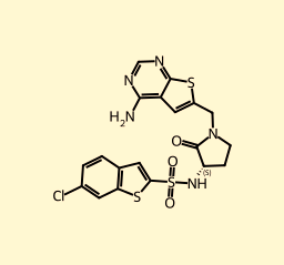 Nc1ncnc2sc(CN3CC[C@H](NS(=O)(=O)c4cc5ccc(Cl)cc5s4)C3=O)cc12